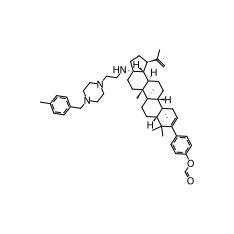 C=C(C)[C@@H]1CC[C@]2(NCCN3CCN(Cc4ccc(C)cc4)CC3)CC[C@]3(C)[C@H](CC[C@@H]4[C@@]5(C)CC=C(c6ccc(OC=O)cc6)C(C)(C)[C@@H]5CC[C@]43C)[C@@H]12